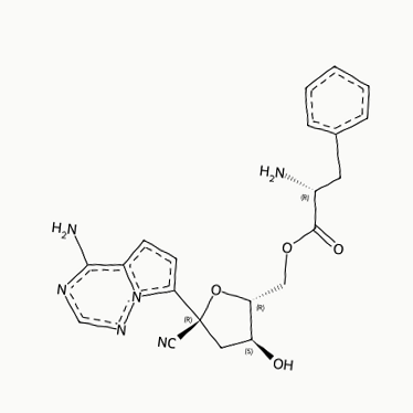 N#C[C@]1(c2ccc3c(N)ncnn23)C[C@H](O)[C@@H](COC(=O)[C@H](N)Cc2ccccc2)O1